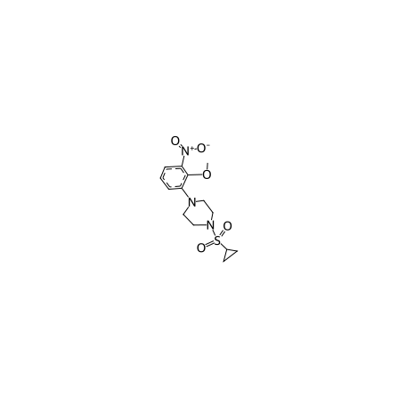 COc1c(N2CCN(S(=O)(=O)C3CC3)CC2)cccc1[N+](=O)[O-]